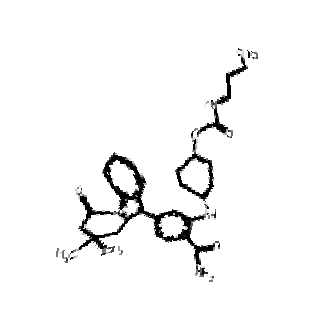 CC1(C)CC(=O)n2c(c(-c3ccc(C(N)=O)c(N[C@H]4CC[C@H](OC(=O)NCCCC=O)CC4)c3)c3ccccc32)C1